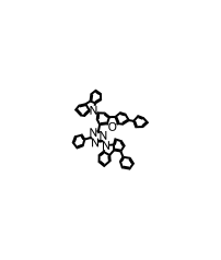 c1ccc(-c2ccc3c(c2)oc2c(-c4nc(-c5ccccc5)nc(-n5c6ccccc6c6c(-c7ccccc7)cccc65)n4)cc(-n4c5ccccc5c5ccccc54)cc23)cc1